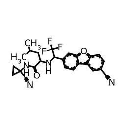 CC(C)CC(NC(c1ccc2c(c1)oc1ccc(C#N)cc12)C(F)(F)F)C(=O)NC1(C#N)CC1